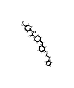 COc1cnc(NC(=O)N2CCC(=Cc3cccc(OCCc4ccsc4)c3)CC2)cn1